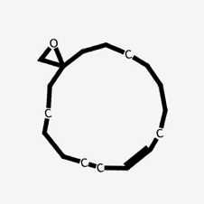 C1=CCCCCCCC2(CCCCCCC1)CO2